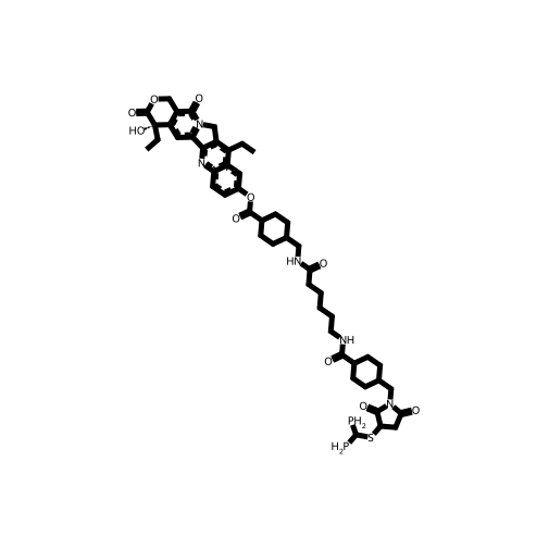 CCc1c2c(nc3ccc(OC(=O)C4CCC(CNC(=O)CCCCCNC(=O)C5CCC(CN6C(=O)CC(SC(P)P)C6=O)CC5)CC4)cc13)-c1cc3c(c(=O)n1C2)COC(=O)[C@]3(O)CC